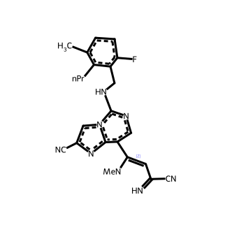 CCCc1c(C)ccc(F)c1CNc1ncc(/C(=C/C(=N)C#N)NC)c2nc(C#N)cn12